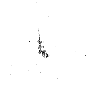 CCCCCCCCCCCCCCCCC(=O)NCCOCCNC(=O)CCCOc1cc([N+](=O)[O-])c(C(C)NC(=O)CCCN2C(=O)C=CC2=O)cc1OC